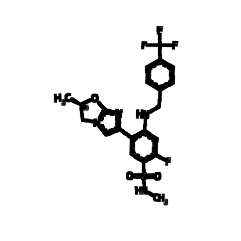 CNS(=O)(=O)c1cc(-c2cn3c(n2)O[C@H](C)C3)c(NCc2ccc(C(F)(F)F)cc2)cc1F